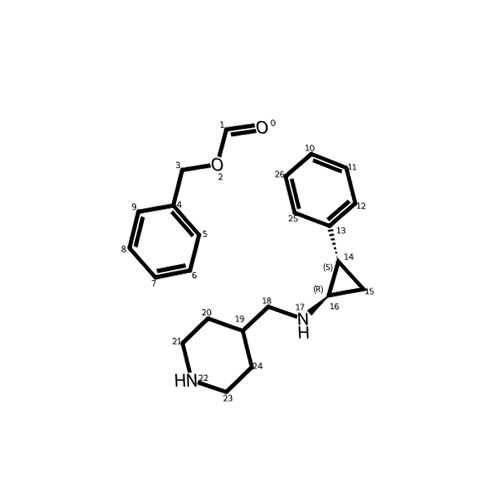 O=COCc1ccccc1.c1ccc([C@@H]2C[C@H]2NCC2CCNCC2)cc1